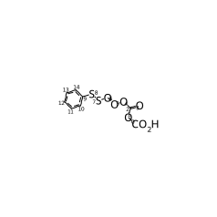 O=C(O)OC(=O)OOOSSc1ccccc1